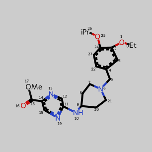 CCOc1cc(CN2CCC(Nc3cnc(C(=O)OC)cn3)CC2)ccc1OC(C)C